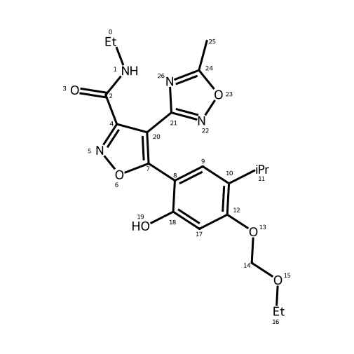 CCNC(=O)c1noc(-c2cc(C(C)C)c(OCOCC)cc2O)c1-c1noc(C)n1